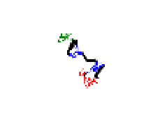 CCN(CCCn1cc(Br)cn1)C(=O)O